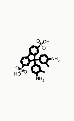 Cc1cc(C2(c3ccc(N)c(C)c3)c3cc(S(=O)(=O)O)ccc3-c3ccc(S(=O)(=O)O)cc32)ccc1N